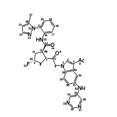 CC(=O)c1cn(CC(=O)C2C[C@H](F)C[C@H]2C(=O)Nc2ccccc2-n2nccc2C)c2ccc(Nc3cncnc3)cc12